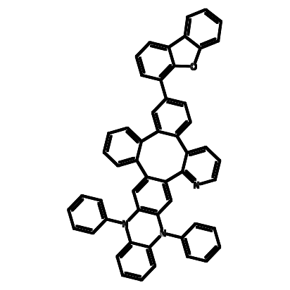 c1ccc(-n2c3ccccc3n(-c3ccccc3)c3cc4c(cc32)c2ccccc2c2cc(-c3cccc5c3oc3ccccc35)ccc2c2cccnc24)cc1